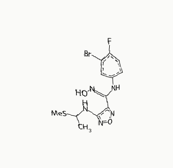 CSC(C)Nc1nonc1C(=NO)Nc1ccc(F)c(Br)c1